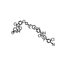 CCN(CC1CCN(c2ccc(NC(=O)N3C[C@H](C)N(c4ccc(C#N)c(Cl)c4)C[C@H]3C)cn2)CC1)[C@H]1C[C@H](Oc2ccc3c(c2)C(=O)N(C2CCC(=O)NC2=O)C3=O)C1